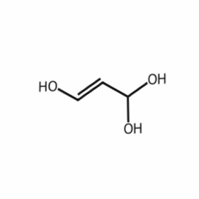 OC=CC(O)O